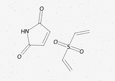 C=CS(=O)(=O)C=C.O=C1C=CC(=O)N1